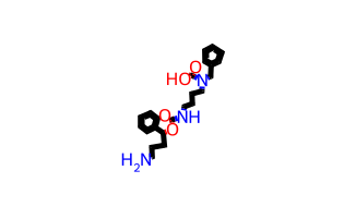 NCCCC(OC(=O)NCCCCN(Cc1ccccc1)C(=O)O)c1ccccc1